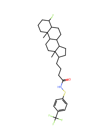 CC12CCC3C(CCC4C(F)CCCC43C)C1CCC2CCCC(=O)NSc1ccc(C(F)(F)F)cc1